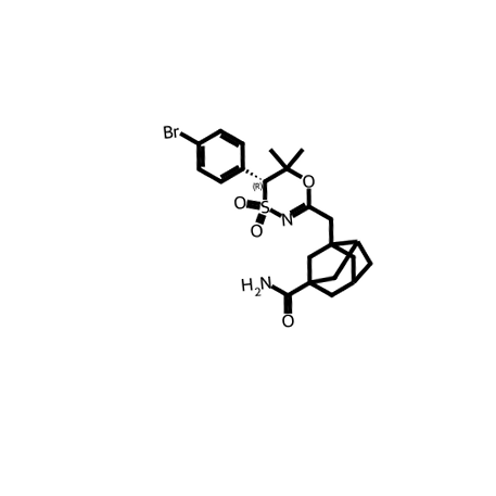 CC1(C)OC(CC23CC4CC2CC(C(N)=O)(C4)C3)=NS(=O)(=O)[C@@H]1c1ccc(Br)cc1